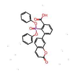 O=C(O)c1cccc(-c2ccc3ccc(=O)oc3c2)c1P(=O)(Oc1ccccc1)Oc1ccccc1